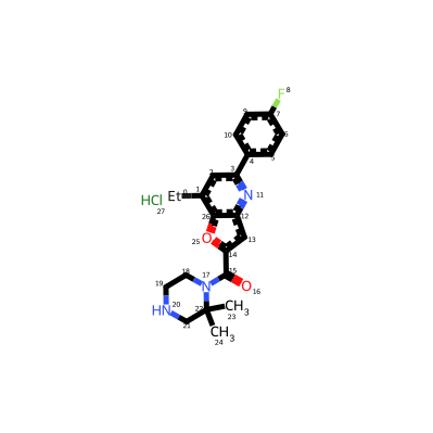 CCc1cc(-c2ccc(F)cc2)nc2cc(C(=O)N3CCNCC3(C)C)oc12.Cl